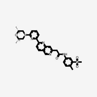 Cc1ccc(NC(=O)Cc2cc3nc(-c4cccc(N5C[C@@H](C)O[C@@H](C)C5)n4)ccc3cn2)cc1S(C)(=O)=O